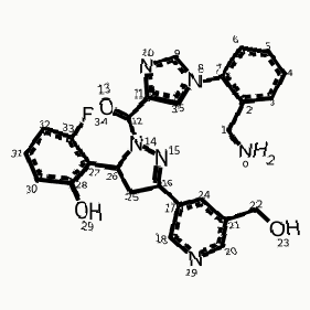 NCc1ccccc1-n1cnc(C(=O)N2N=C(c3cncc(CO)c3)CC2c2c(O)cccc2F)c1